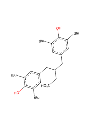 CC(C)(C)c1cc(CC(CC(=O)O)Cc2cc(C(C)(C)C)c(O)c(C(C)(C)C)c2)cc(C(C)(C)C)c1O